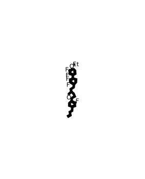 C=CCCc1ccc(C2CCC(CCc3ccc(-c4ccc(OCC)c(F)c4F)c(F)c3F)CO2)c(F)c1